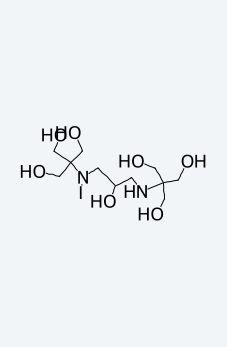 OCC(CO)(CO)NCC(O)CN(I)C(CO)(CO)CO